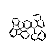 c1cc2c3c(c#1)-c1ccccc1C31C3=C(CCC(N(c4cccc5ccccc45)C4CC=Cc5ccccc54)=C3)c3cccc-2c31